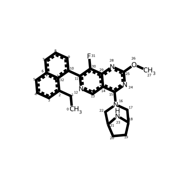 CCc1cccc2cccc(-c3ncc4c(N5CC6CCC(C5)N6)nc(OC)nc4c3F)c12